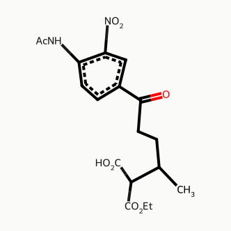 CCOC(=O)C(C(=O)O)C(C)CCC(=O)c1ccc(NC(C)=O)c([N+](=O)[O-])c1